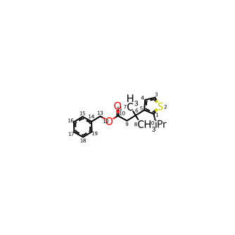 CC(C)c1sccc1C(C)(C)CC(=O)OCc1ccccc1